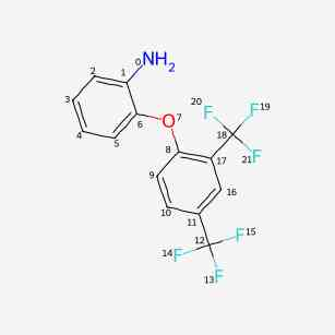 Nc1ccccc1Oc1ccc(C(F)(F)F)cc1C(F)(F)F